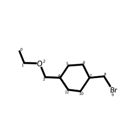 CCOCC1CCC(CBr)CC1